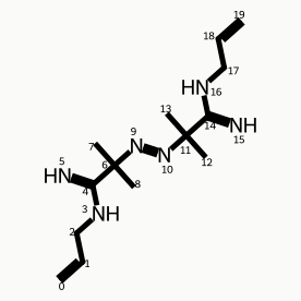 C=CCNC(=N)C(C)(C)/N=N/C(C)(C)C(=N)NCC=C